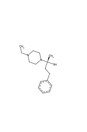 CCN1CCN([C@](C)(S)C[CH]c2ccccc2)CC1